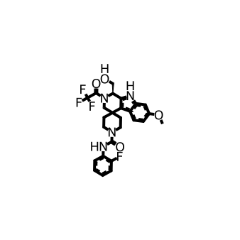 COc1ccc2c3c([nH]c2c1)[C@H](CO)N(C(=O)C(F)(F)F)CC31CCN(C(=O)Nc2ccccc2F)CC1